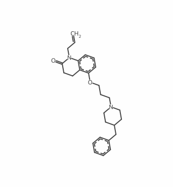 C=CCN1C(=O)CCc2c(OCCCN3CCC(Cc4ccccc4)CC3)cccc21